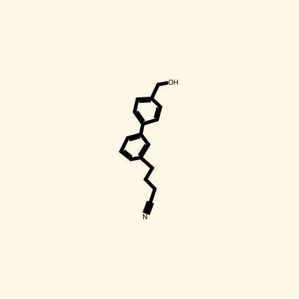 N#CCCCc1cccc(-c2ccc(CO)cc2)c1